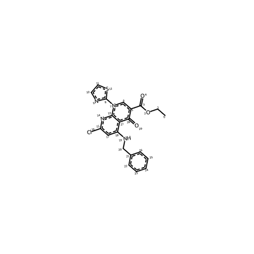 CCOC(=O)c1cn(-c2nccs2)c2nc(Cl)cc(NCc3ccccc3)c2c1=O